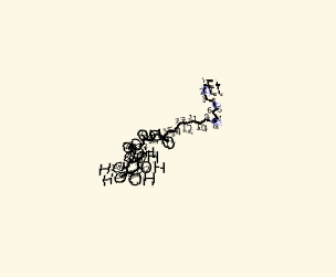 CC/C=C\C/C=C\C/C=C\CCCCCCCC(=O)OCC(O)COP(=O)(O)OC1C(O)C(O)C(O)C(O)C1O